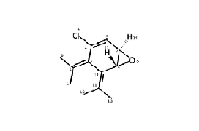 CC(C)=C1C(Cl)=C[C@H]2O[C@@H]2C1=C(C)C